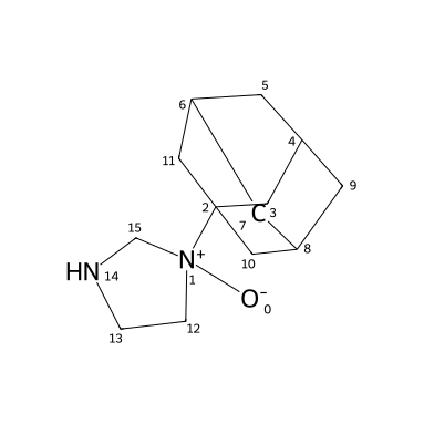 [O-][N+]1(C23CC4CC(CC(C4)C2)C3)CCNC1